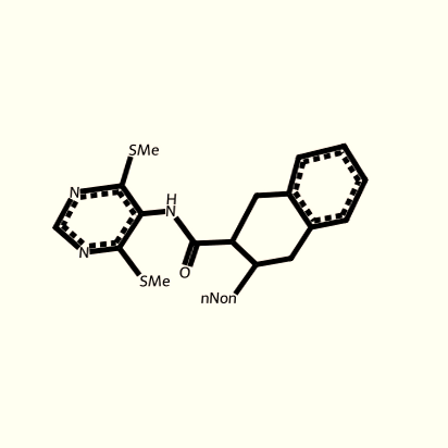 CCCCCCCCCC1Cc2ccccc2CC1C(=O)Nc1c(SC)ncnc1SC